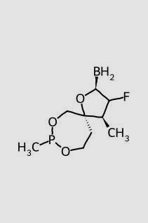 B[C@@H]1O[C@@]2(CCOP(C)OC2)[C@H](C)C1F